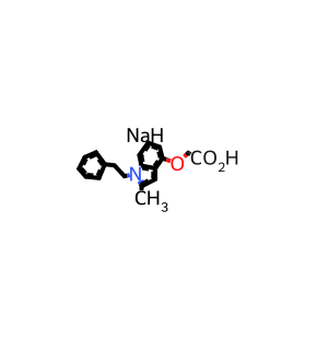 Cc1cc2c(OCC(=O)O)cccc2n1CCc1ccccc1.[NaH]